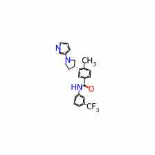 Cc1ccc(C(=O)Nc2cccc(C(F)(F)F)c2)cc1[C@@H]1CCN(c2cccnc2)C1